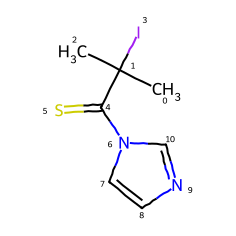 CC(C)(I)C(=S)n1ccnc1